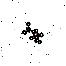 CC1(C)c2ccccc2-c2c1c1c3ccccc3n(-c3cccc(-c4cc(-c5ccccc5)nc(-c5ccccc5)n4)c3)c1c1c2c2ccccc2n1-c1ccccc1